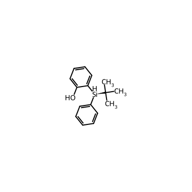 CC(C)(C)[Si@@H](c1ccccc1)c1ccccc1O